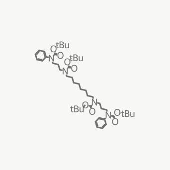 CC(C)(C)OC(=O)N(CCCCCCCCN(CCCN(C(=O)OC(C)(C)C)c1ccccc1)C(=O)OC(C)(C)C)CCCN(C(=O)OC(C)(C)C)c1ccccc1